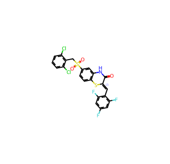 O=C1Nc2cc(S(=O)(=O)Cc3c(Cl)cccc3Cl)ccc2S/C1=C\c1c(F)cc(F)cc1F